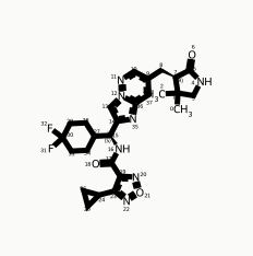 CC1(C)CNC(=O)[C@@H]1Cc1cnn2cc([C@@H](NC(=O)c3nonc3C3CC3)C3CCC(F)(F)CC3)nc2c1